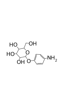 Nc1ccc(OC2OC(CO)C(O)C(O)C2O)cc1